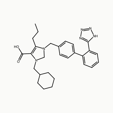 CCCC1=C(C(=O)O)N(CC2CCCCC2)CN1Cc1ccc(-c2ccccc2-c2nnn[nH]2)cc1